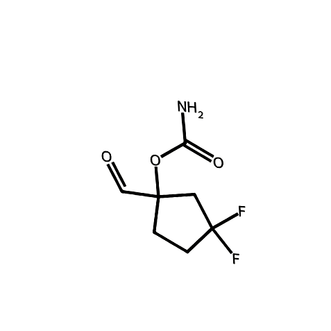 NC(=O)OC1(C=O)CCC(F)(F)C1